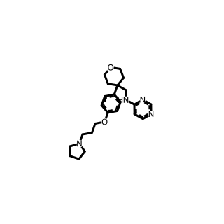 c1cc(NCC2(c3ccc(OCCCN4CCCC4)cc3)CCOCC2)ncn1